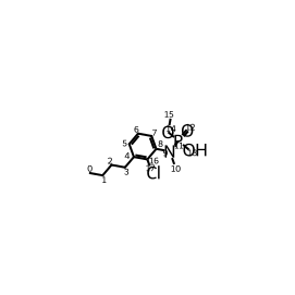 CCCCc1cccc(N(C)P(=O)(O)OC)c1Cl